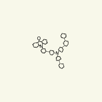 O=c1c2ccccc2n(-c2cccc(-c3ccc(N(c4ccc(-c5ccccc5)cc4)c4ccc(-c5cccc(-c6ccccc6)c5)cc4)cc3)c2)c2ccccc12